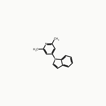 Cc1cc(-n2ccc3ccccc32)cc(C)n1